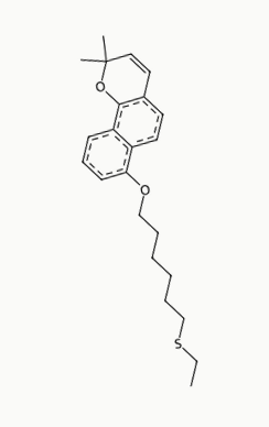 CCSCCCCCCOc1cccc2c3c(ccc12)C=CC(C)(C)O3